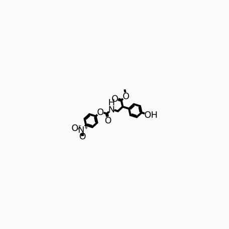 COC(=O)C(CNC(=O)Oc1ccc([N+](=O)[O-])cc1)c1ccc(O)cc1